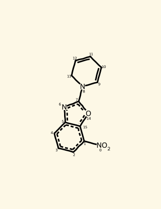 O=[N+]([O-])c1cccc2nc(N3C=CC=CC3)oc12